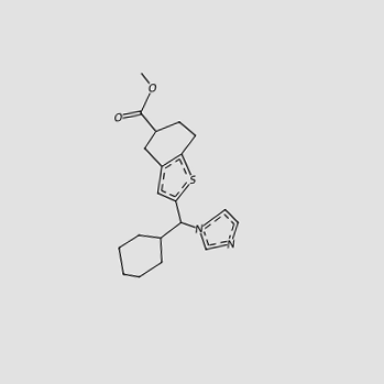 COC(=O)C1CCc2sc(C(C3CCCCC3)n3ccnc3)cc2C1